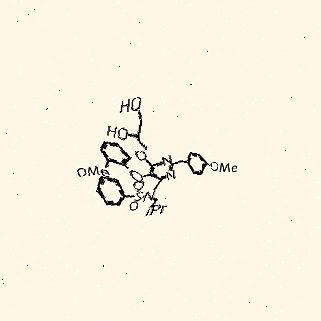 COc1ccc(-c2nc(OCC(O)CO)c(Oc3ccccc3OC)c(N(CC(C)C)S(=O)(=O)c3ccccc3)n2)cc1